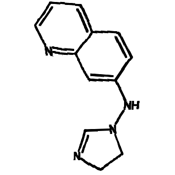 C1=NCCN1Nc1ccc2cccnc2c1